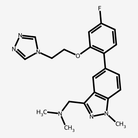 CN(C)Cc1nn(C)c2ccc(-c3ccc(F)cc3OCCn3cnnc3)cc12